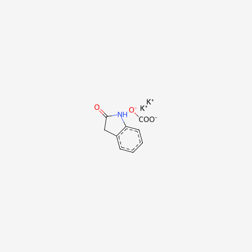 O=C([O-])[O-].O=C1Cc2ccccc2N1.[K+].[K+]